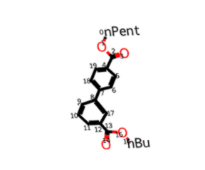 CCCCCOC(=O)c1ccc(-c2[c]ccc(C(=O)OCCCC)c2)cc1